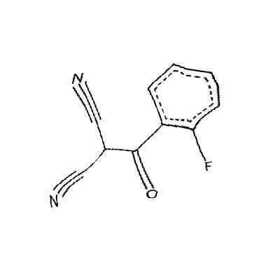 N#CC(C#N)C(=O)c1ccccc1F